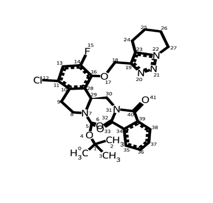 CC(C)(C)OC(=O)N1CCc2c(Cl)cc(F)c(OCc3nnn4c3CCCC4)c2[C@H]1CN1C(=O)c2ccccc2C1=O